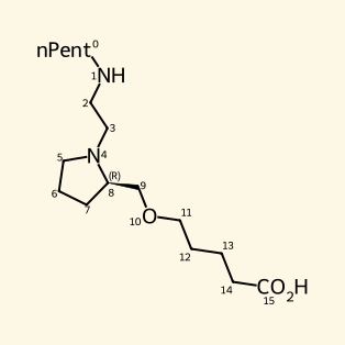 CCCCCNCCN1CCC[C@@H]1COCCCCC(=O)O